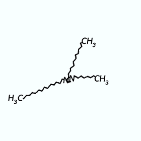 CCCCCCCCCCCCCCCN1C=CN(CCCCCCCC)C1CCCCCCCCCCCC